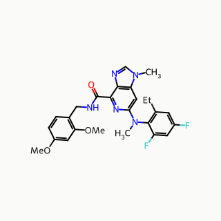 CCc1cc(F)cc(F)c1N(C)c1cc2c(ncn2C)c(C(=O)NCc2ccc(OC)cc2OC)n1